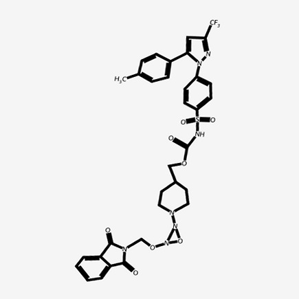 Cc1ccc(-c2cc(C(F)(F)F)nn2-c2ccc(S(=O)(=O)NC(=O)OCC3CCN(n4on4OCN4C(=O)c5ccccc5C4=O)CC3)cc2)cc1